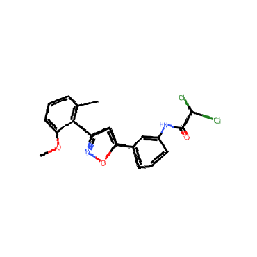 COc1cccc(C)c1-c1cc(-c2cccc(NC(=O)C(Cl)Cl)c2)on1